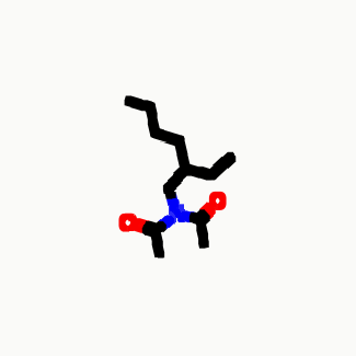 CCCCC(CC)CN(C(C)=O)C(C)=O